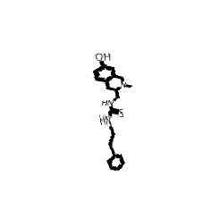 CN1Cc2cc(O)ccc2CC1CNC(=S)NCCc1ccccc1